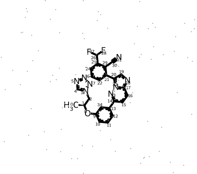 C[C@@H](Cn1cnnn1)Oc1cccc(-c2ccc3ncc(-c4cccc(C(F)F)c4C#N)n3n2)c1